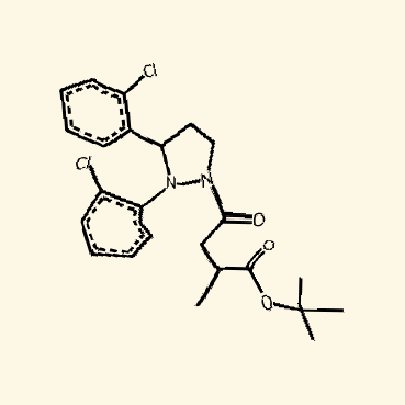 CC(CC(=O)N1CCC(c2ccccc2Cl)N1c1ccccc1Cl)C(=O)OC(C)(C)C